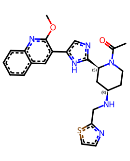 COc1nc2ccccc2cc1-c1cnc([C@@H]2C[C@H](NCc3nccs3)CCN2C(C)=O)[nH]1